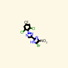 O=[N+]([O-])c1nc(-c2cnn(-c3c(Cl)cc(C(F)(F)F)cc3Cl)n2)[nH]c1Br